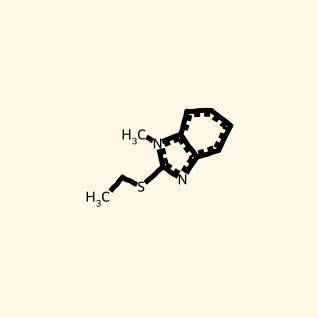 CCSc1nc2ccccc2n1C